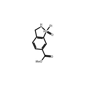 CC[SH]1(=O)NCc2ccc(C(=O)OC)cc21